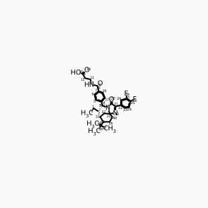 CCC[C@H](c1ccc(C(=O)NCCC(=O)O)cc1)N1C(=O)C(c2ccc(F)c(F)c2)=NC12CCC(C(C)(C)C)CC2